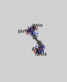 C=CCCN(Cc1ncc(-c2ccc(C#Cc3ccc(-c4cnc([C@H](C)N(CN(C)C(=O)NC)C(=O)[C@@H](NC(=O)OC)C(C)C)[nH]4)cc3)cc2)[nH]1)C(=O)[C@@H](NC(=O)OC)C(C)C